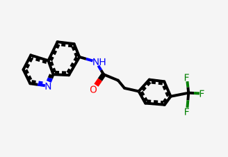 O=C(CCc1ccc(C(F)(F)F)cc1)Nc1ccc2cccnc2c1